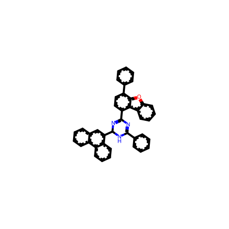 c1ccc(C2=NC(c3ccc(-c4ccccc4)c4oc5ccccc5c34)=NC(c3cc4ccccc4c4ccccc34)N2)cc1